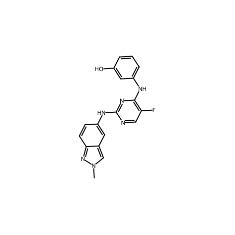 Cn1cc2cc(Nc3ncc(F)c(Nc4cccc(O)c4)n3)ccc2n1